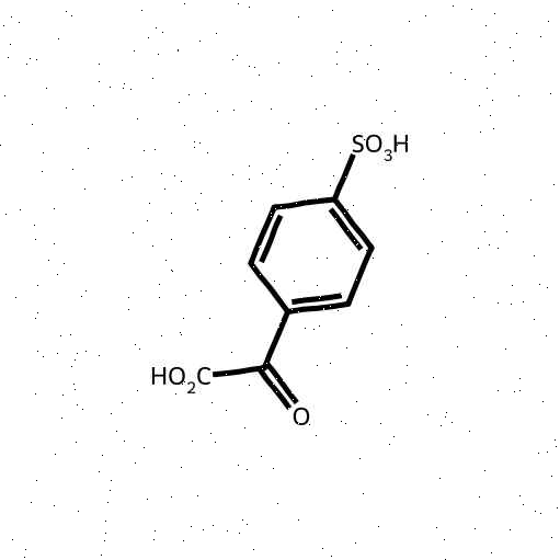 O=C(O)C(=O)c1ccc(S(=O)(=O)O)cc1